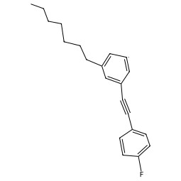 CCCCCCCc1c[c]cc(C#Cc2ccc(F)cc2)c1